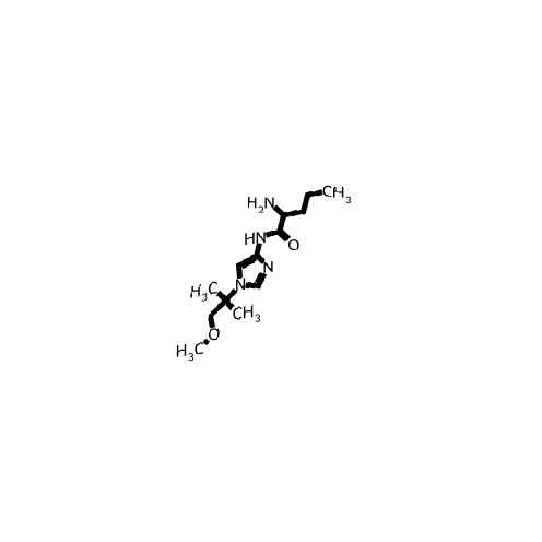 CCCC(N)C(=O)Nc1cn(C(C)(C)COC)cn1